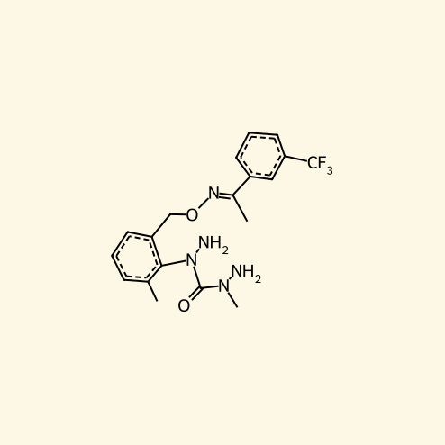 CC(=NOCc1cccc(C)c1N(N)C(=O)N(C)N)c1cccc(C(F)(F)F)c1